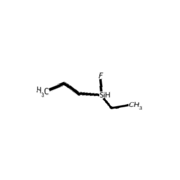 CCC[SiH](F)CC